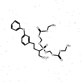 CC(C)(C)COC(=O)OCOP(=O)(OCOC(=O)OCC(C)(C)C)C(CCc1cccc(Oc2ccccc2)c1)CS(=O)(=O)O